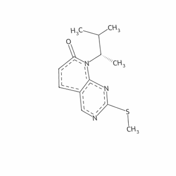 CSc1ncc2ccc(=O)n([C@@H](C)C(C)C)c2n1